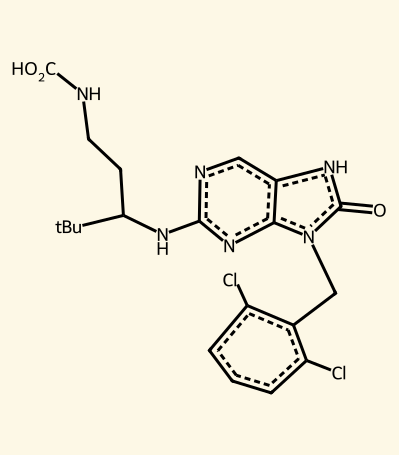 CC(C)(C)C(CCNC(=O)O)Nc1ncc2[nH]c(=O)n(Cc3c(Cl)cccc3Cl)c2n1